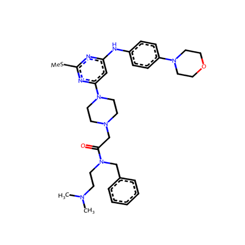 CSc1nc(Nc2ccc(N3CCOCC3)cc2)cc(N2CCN(CC(=O)N(CCN(C)C)Cc3ccccc3)CC2)n1